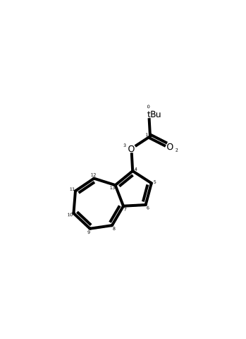 CC(C)(C)C(=O)Oc1ccc2cccccc1-2